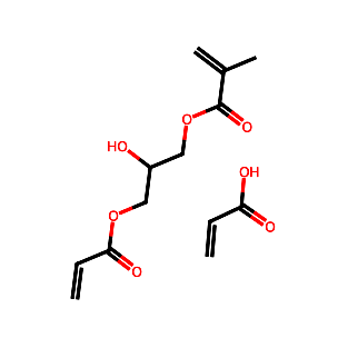 C=CC(=O)O.C=CC(=O)OCC(O)COC(=O)C(=C)C